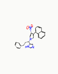 O=[N+]([O-])c1cn(C(CCc2ccccc2)c2cnc[nH]2)cc1-c1cccc2ccccc12